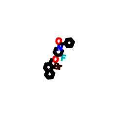 O=C(c1ccccc1)N1CCC(OCc2ccc3ccccc3c2Br)C(F)C1